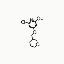 COc1cc(OCC2CCCOC2)cc(Cl)n1